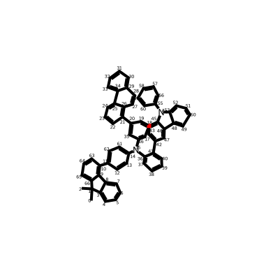 CC1(C)c2ccccc2-c2c(-c3ccc(N(c4cccc(-c5cccc6c5ccc5ccccc56)c4)c4ccccc4-c4ccc5c(c4)c4ccccc4n5-c4ccccc4)cc3)cccc21